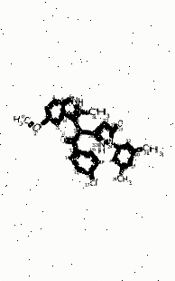 COc1ccc2[nH]c(C)c(C(C(=O)c3ccc(Cl)cc3)c3cc(=O)n(-c4cc(C)cc(C)c4)[nH]3)c2c1